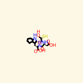 O=C(O)C[C@H](NC(=O)[C@@H](S)CO)C(=O)N[C@@H](Cc1c[nH]c2ccccc12)C(=O)O